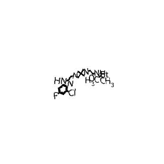 CCC(C)(C)NC(=O)CN1CC2(C1)CN(Cc1nc3c(Cl)cc(F)cc3[nH]1)C2